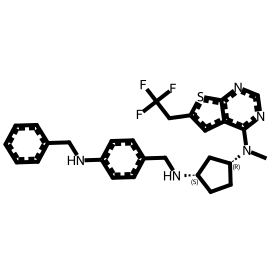 CN(c1ncnc2sc(CC(F)(F)F)cc12)[C@@H]1CC[C@H](NCc2ccc(NCc3ccccc3)cc2)C1